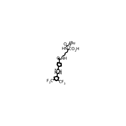 CC(C)(C)OC(=O)NC(CCCCNC(=O)c1ccc(-c2nnc(-c3cc(C(F)(F)F)cc(C(F)(F)F)c3)nn2)cc1)C(=O)O